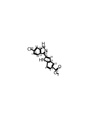 COC(=O)c1ccc2[nH]c(-c3n[nH]c4cc(Cl)ccc34)cc2c1